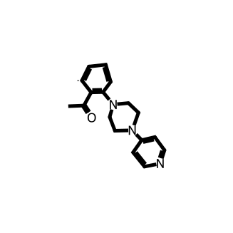 CC(=O)c1[c]cccc1N1CCN(c2ccncc2)CC1